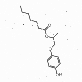 CCCCCCC(=O)OC(C)COc1ccc(O)cc1